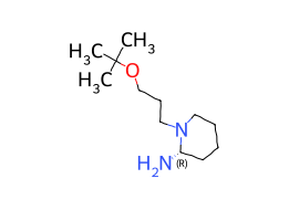 CC(C)(C)OCCCN1CCCC[C@@H]1N